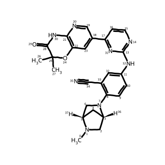 CN1C[C@@H]2C[C@H]1CN2c1ccc(Nc2nccc(-c3cnc4c(c3)OC(C)(C)C(=O)N4)n2)cc1C#N